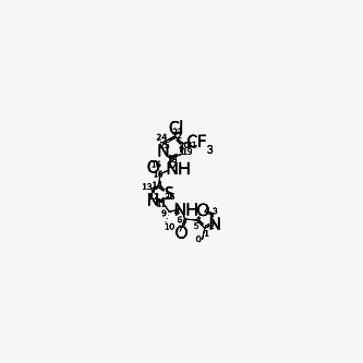 Cc1ncoc1C(=O)N[C@H](C)c1ncc(C(=O)Nc2cc(C(F)(F)F)c(Cl)cn2)s1